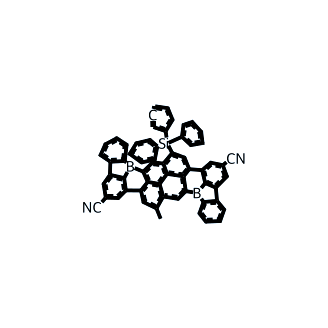 Cc1cc2c3c(cc4c([Si](c5ccccc5)(c5ccccc5)c5ccccc5)cc5c6c(cc1c3c46)B1c3ccccc3-c3cc(C#N)cc-5c31)B1c3ccccc3-c3cc(C#N)cc-2c31